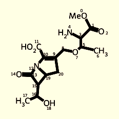 COC(=O)C(N)C(C)OCC1=C(C(=O)O)N2C(=O)C(C(C)O)C2C1